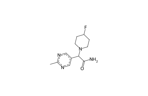 Cc1ncc(C(C(N)=O)N2CCC(F)CC2)cn1